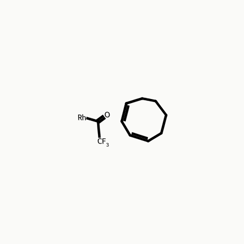 C1=CCCCCC=C1.O=[C]([Rh])C(F)(F)F